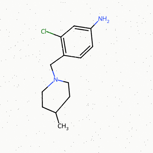 CC1CCN(Cc2ccc(N)cc2Cl)CC1